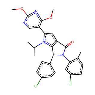 COc1ncc(-c2cc3c(n2C(C)C)C(c2ccc(Cl)cc2)N(c2cc(Cl)ccc2C)C3=O)c(OC)n1